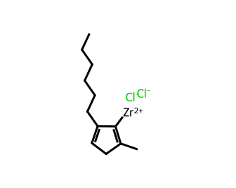 CCCCCCC1=CCC(C)=[C]1[Zr+2].[Cl-].[Cl-]